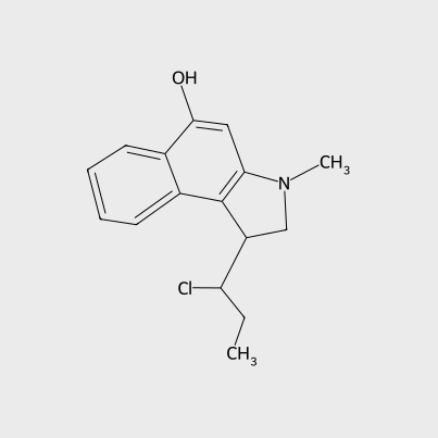 CCC(Cl)C1CN(C)c2cc(O)c3ccccc3c21